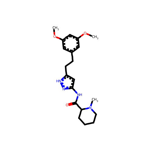 COc1cc(CCc2cc(NC(=O)C3CCCCN3C)n[nH]2)cc(OC)c1